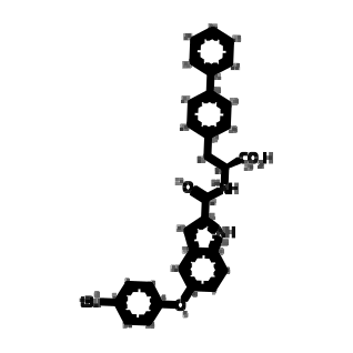 CC(C)(C)c1ccc(Oc2ccc3[nH]c(C(=O)N[C@@H](Cc4ccc(-c5ccccc5)cc4)C(=O)O)cc3c2)cc1